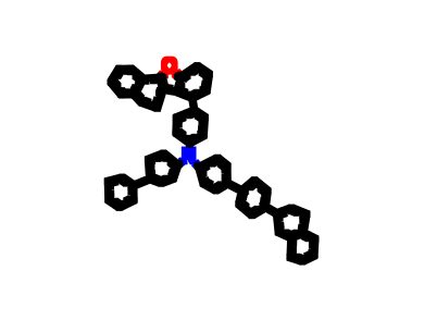 c1ccc(-c2ccc(N(c3ccc(-c4ccc(-c5ccc6ccccc6c5)cc4)cc3)c3ccc(-c4cccc5oc6c7ccccc7ccc6c45)cc3)cc2)cc1